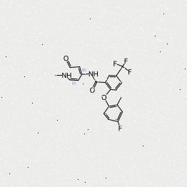 CN/C=C\C(=C/C=O)NC(=O)c1cc(C(F)(F)F)ccc1Oc1ccc(F)cc1C